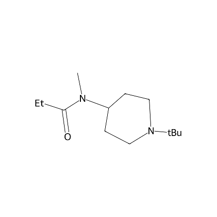 CCC(=O)N(C)C1CCN(C(C)(C)C)CC1